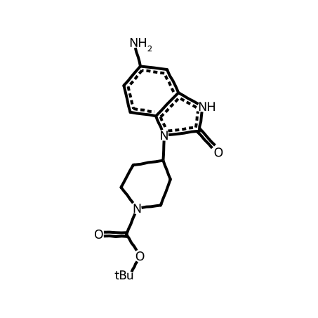 CC(C)(C)OC(=O)N1CCC(n2c(=O)[nH]c3cc(N)ccc32)CC1